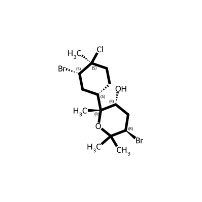 CC1(C)O[C@](C)([C@H]2CC[C@](C)(Cl)[C@@H](Br)C2)[C@H](O)C[C@H]1Br